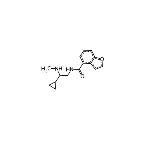 CNC(CNC(=O)c1cccc2occc12)C1CC1